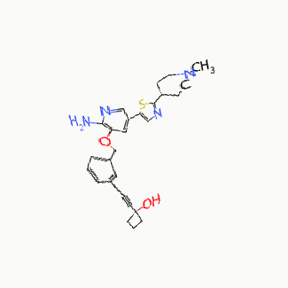 CN1CCC(c2ncc(-c3cnc(N)c(OCc4cccc(C#CC5(O)CCC5)c4)c3)s2)CC1